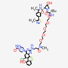 Cc1ncsc1-c1ccc([C@H](C)NC(=O)[C@@H]2C[C@@H](O)CN2C(=O)[C@@H](NOCCOCCOCCOCCOCCN(C)C(=O)CCNc2nc(N3CCN(C(N)=O)CC3)c3cc(Cl)c(-c4c(O)cccc4F)c(F)c3n2)C(C)(C)C)cc1